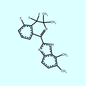 Cc1ccc2nc(C3=NC(C)(C)C(F)(F)c4c(F)cccc43)[nH]c2c1C